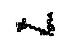 CC[C@@H](NCCCCCCCN1CC(=O)NC1=O)c1cc(OCC2CC2)co1